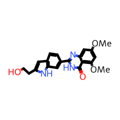 COc1cc(OC)c2c(=O)[nH]c(-c3ccc4cc(CCO)[nH]c4c3)nc2c1